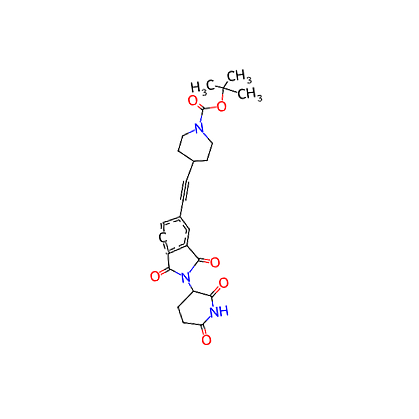 CC(C)(C)OC(=O)N1CCC(C#Cc2ccc3c(c2)C(=O)N(C2CCC(=O)NC2=O)C3=O)CC1